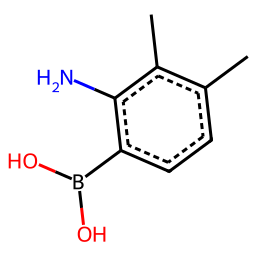 Cc1ccc(B(O)O)c(N)c1C